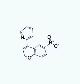 O=[N+]([O-])c1ccc2c(c1)C(c1ccccn1)=CCO2